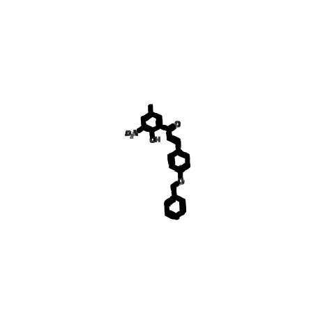 Cc1cc(C(=O)C=Cc2ccc(OCc3ccccc3)cc2)c(O)c([N+](=O)[O-])c1